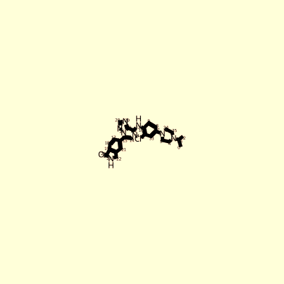 CC(C)N1CCN(c2ccc(Nc3ncc(-c4ccc5c(c4)CNC5=O)n4ncnc34)c(Cl)c2)CC1